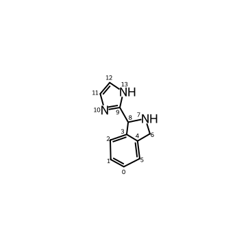 c1ccc2c(c1)CNC2c1ncc[nH]1